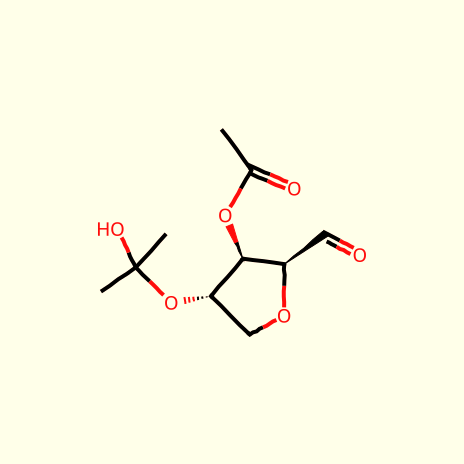 CC(=O)O[C@@H]1[C@@H](OC(C)(C)O)CO[C@@H]1C=O